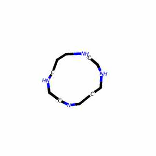 C1C[N]CCNCCCNCCNC1